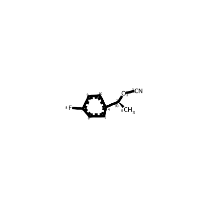 C[C@H](OC#N)c1ccc(F)cc1